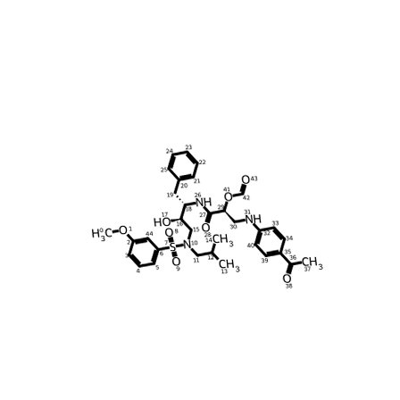 COc1cccc(S(=O)(=O)N(CC(C)C)C[C@@H](O)[C@H](Cc2ccccc2)NC(=O)[C@H](CNc2ccc(C(C)=O)cc2)OC=O)c1